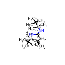 C=C[SiH2]C(N[Si](C)(C)C(C)(C)C)N[Si](C)(C)C(C)(C)C